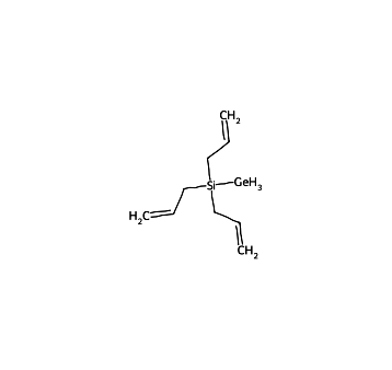 C=CC[Si]([GeH3])(CC=C)CC=C